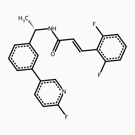 C[C@H](NC(=O)C=Cc1c(F)cccc1F)c1cccc(-c2ccc(F)nc2)c1